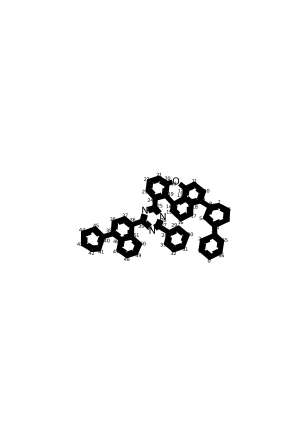 c1ccc(-c2cccc(-c3ccc4c5c(cccc35)-c3c(cccc3-c3nc(-c5ccccc5)nc(-c5ccc(-c6ccccc6)c6ccccc56)n3)O4)c2)cc1